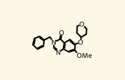 COc1cc2ncn(Cc3ccccc3)c(=O)c2cc1OC1CCOCC1